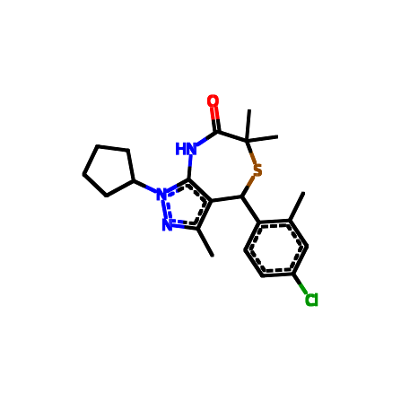 Cc1cc(Cl)ccc1C1SC(C)(C)C(=O)Nc2c1c(C)nn2C1CCCC1